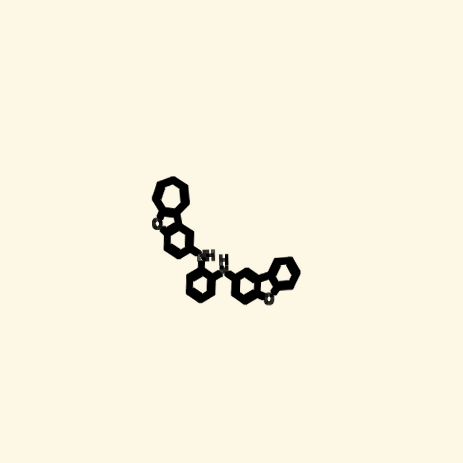 C1=Cc2oc3ccc(Nc4ccccc4Nc4ccc5oc6ccccc6c5c4)cc3c2C=CC1